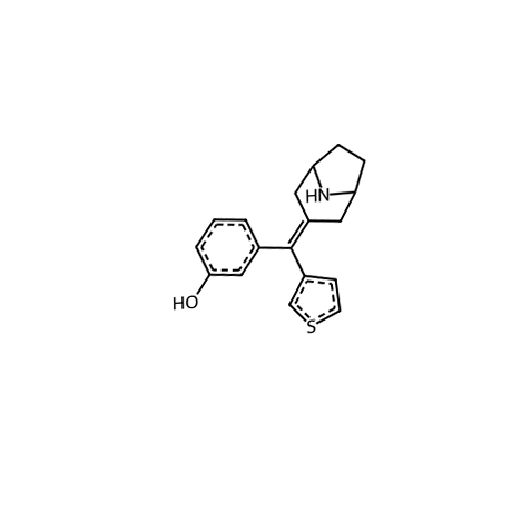 Oc1cccc(C(=C2CC3CCC(C2)N3)c2ccsc2)c1